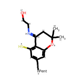 CCCCCc1cc(S)c2c(c1)OC(C)(C)CC2=NCCO